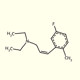 CCN(CC)C/C=C\c1cc(F)ccc1C